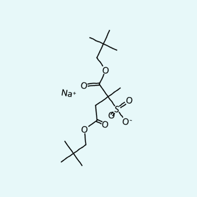 CC(C)(C)COC(=O)CC(C)(C(=O)OCC(C)(C)C)S(=O)(=O)[O-].[Na+]